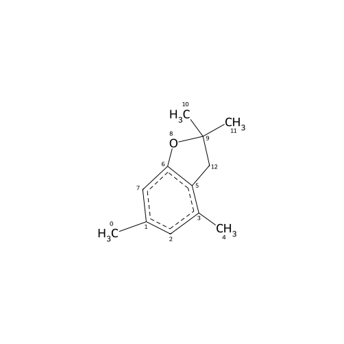 Cc1cc(C)c2c(c1)OC(C)(C)C2